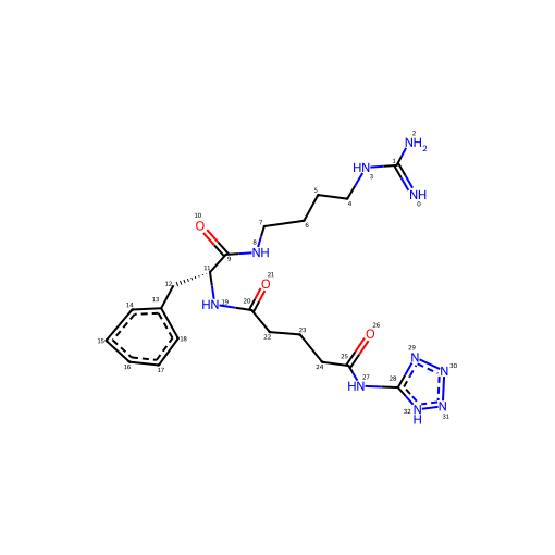 N=C(N)NCCCCNC(=O)[C@@H](Cc1ccccc1)NC(=O)CCCC(=O)Nc1nnn[nH]1